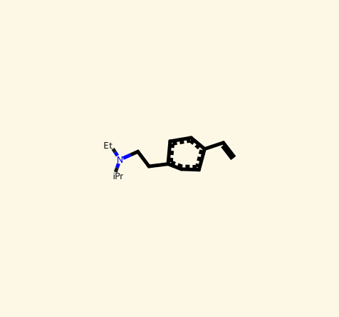 C=Cc1ccc(CCN(CC)C(C)C)cc1